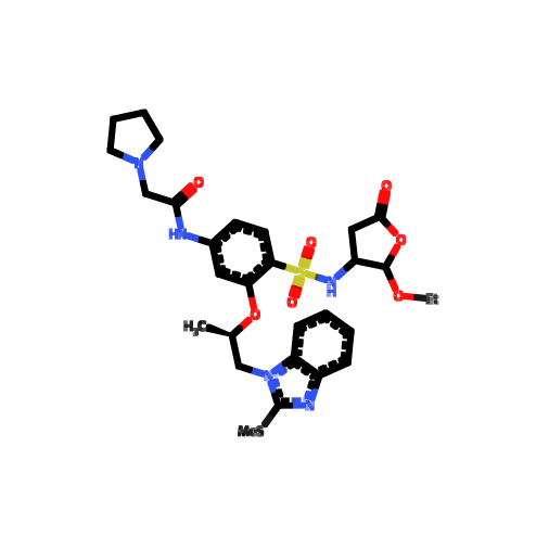 CCOC1OC(=O)CC1NS(=O)(=O)c1ccc(NC(=O)CN2CCCC2)cc1O[C@H](C)Cn1c(SC)nc2ccccc21